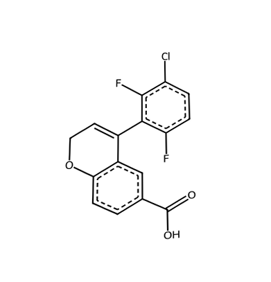 O=C(O)c1ccc2c(c1)C(c1c(F)ccc(Cl)c1F)=CCO2